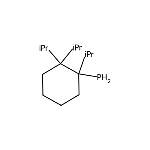 CC(C)C1(P)CCCCC1(C(C)C)C(C)C